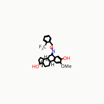 COc1cc2c(cc1O)C(=NOCc1ccccc1C(F)(F)F)C[C@@H]1[C@@H]2CC[C@]2(C)[C@@H](O)CC[C@@H]12